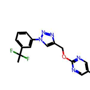 Cc1cnc(OCc2cn(-c3cccc(C(C)(F)F)c3)nn2)nc1